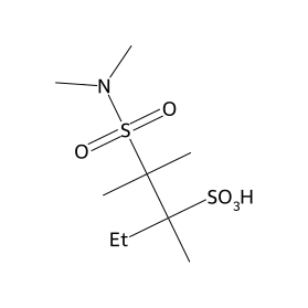 CCC(C)(C(C)(C)S(=O)(=O)N(C)C)S(=O)(=O)O